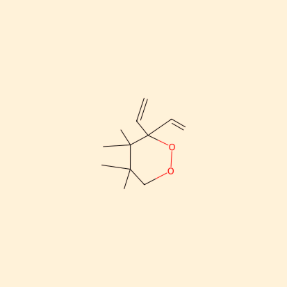 C=CC1(C=C)OOCC(C)(C)C1(C)C